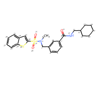 CN(Cc1cccc(C(=O)NCC2CCCCC2)c1)S(=O)(=O)c1cc2ccccc2s1